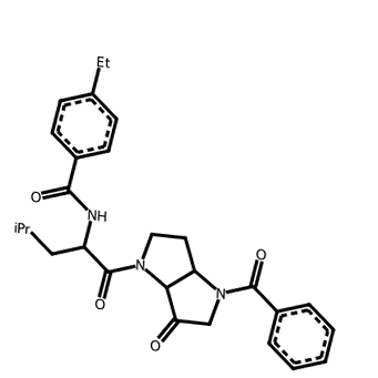 CCc1ccc(C(=O)NC(CC(C)C)C(=O)N2CCC3C2C(=O)CN3C(=O)c2ccccc2)cc1